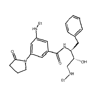 CCNC[C@@H](O)[C@H](Cc1ccccc1)NC(=O)c1cc(NCC)cc(N2CCCC2=O)c1